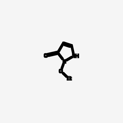 CCOn1[nH]ccc1=O